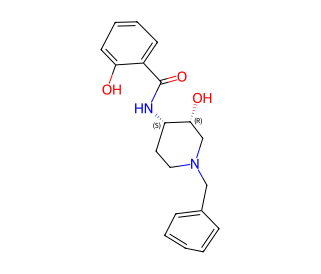 O=C(N[C@H]1CCN(Cc2ccccc2)C[C@H]1O)c1ccccc1O